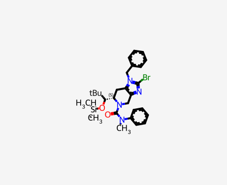 CN(C(=O)N1Cc2nc(Br)n(Cc3ccccc3)c2C[C@H]1C(O[SiH](C)C)C(C)(C)C)c1ccccc1